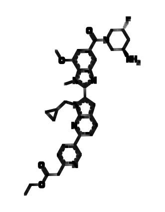 CCOC(=O)Cc1ccc(-c2ccc3cc(-c4nc5cc(C(=O)N6C[C@H](N)C[C@@H](F)C6)cc(OC)c5n4C)n(CC4CC4)c3n2)cn1